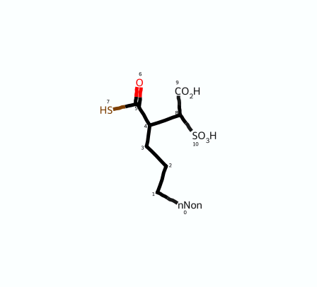 CCCCCCCCCCCCC(C(=O)S)C(C(=O)O)S(=O)(=O)O